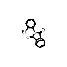 CCc1ccccc1N1C(=O)C2C3C=CC(CC3)C2C1=O